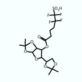 CC1(C)OCC(C2OC3OC(C)(C)OC3C2OC(=O)CCCC(F)(F)C(F)(F)S(=O)(=O)O)O1